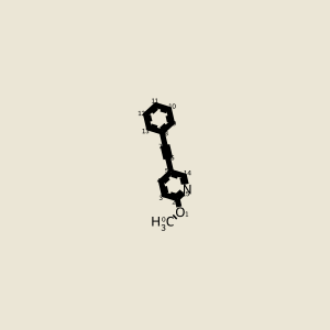 COc1ccc(C#Cc2ccccc2)cn1